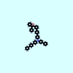 c1ccc(-c2ccc(-c3ccc(N(c4ccc(-c5ccccc5)cc4)c4ccc(-c5ccc(-c6cccc(-c7oc8ccccc8c7-c7ccccc7)c6)cc5)cc4)cc3)cc2)cc1